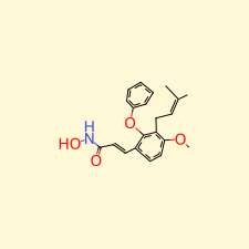 COc1ccc(/C=C/C(=O)NO)c(Oc2ccccc2)c1CC=C(C)C